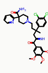 COc1cc(C(=O)C(=N)CC(C)(CCN2CCC(C(N)=O)(c3ccccn3)CC2)c2ccc(Cl)c(Cl)c2)cc(OC)c1OC